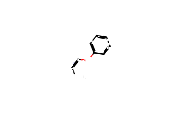 CCCC/C=[C]\Oc1ccccc1